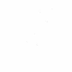 COc1nc(N2C[C@H]3C(=O)NC(=N)N[C@@]3(c3ccc(Cl)s3)C2)nc(C2CC2)c1Cl